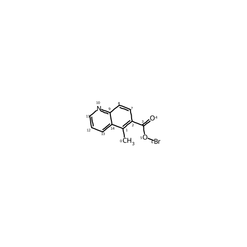 Cc1c(C(=O)OBr)ccc2ncccc12